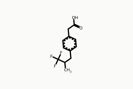 CC(Cc1ccc(CC(=O)O)cc1)C(F)(F)F